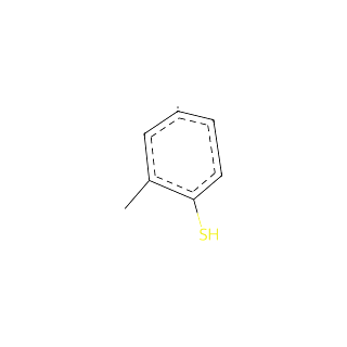 Cc1c[c]ccc1S